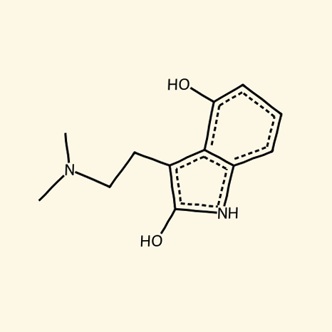 CN(C)CCc1c(O)[nH]c2cccc(O)c12